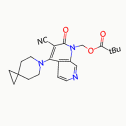 CC(C)(C)C(=O)OCn1c(=O)c(C#N)c(N2CCC3(CC2)CC3)c2ccncc21